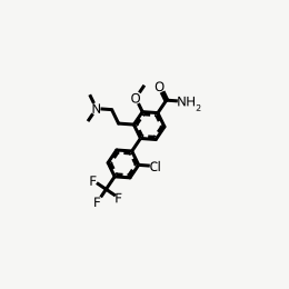 COc1c(C(N)=O)ccc(-c2ccc(C(F)(F)F)cc2Cl)c1CCN(C)C